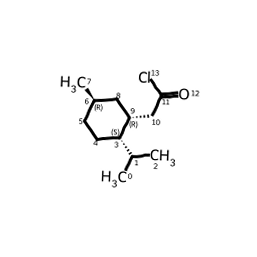 CC(C)[C@@H]1CC[C@@H](C)C[C@@H]1CC(=O)Cl